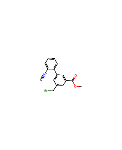 [C-]#[N+]c1ccccc1-c1cc(CBr)cc(C(=O)OC)c1